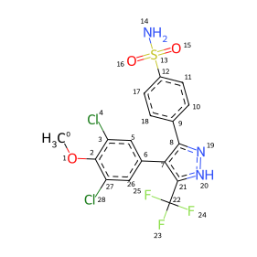 COc1c(Cl)cc(-c2c(-c3ccc(S(N)(=O)=O)cc3)n[nH]c2C(F)(F)F)cc1Cl